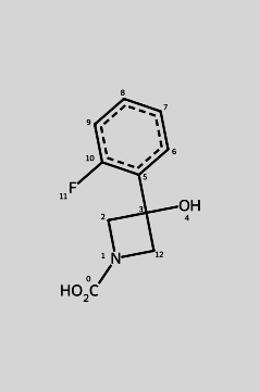 O=C(O)N1CC(O)(c2ccccc2F)C1